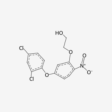 O=[N+]([O-])c1ccc(Oc2ccc(Cl)cc2Cl)cc1OCCO